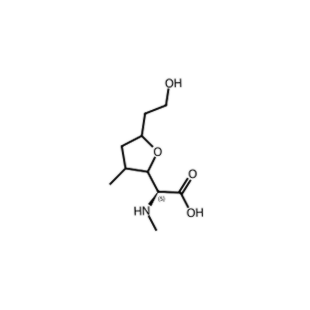 CN[C@H](C(=O)O)C1OC(CCO)CC1C